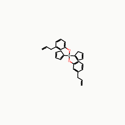 C=CCc1cccc([O][Zr]([O]c2cccc(CC=C)c2)([C]2=CC=CC2)[C]2=CC=CC2)c1